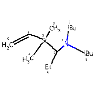 C=C[Si](C)(C)C(CC)N(C(C)CC)C(C)CC